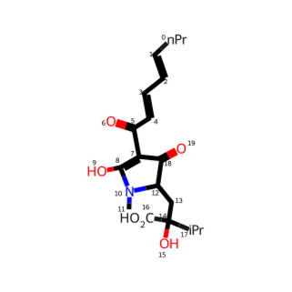 CCC/C=C/C=C/C(=O)C1=C(O)N(C)C(CC(O)(C(=O)O)C(C)C)C1=O